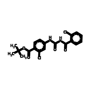 CC(C)(C)OC(=O)c1ccc(NC(=O)NC(=O)c2ccccc2Cl)cc1Cl